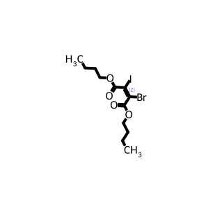 CCCCOC(=O)/C(Br)=C(/I)C(=O)OCCCC